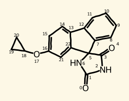 O=C1NC(=O)C2(N1)c1ccccc1-c1ccc(OC3CC3)cc12